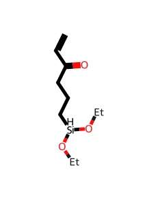 C=CC(=O)CCC[SiH](OCC)OCC